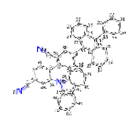 N#Cc1ccc(-c2ccc(-c3c4ccccc4c(-c4ccccc4)c4ccccc34)cc2C#N)c(-n2c3ccccc3c3ccccc32)c1